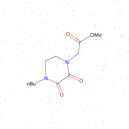 CCCCN1CCN(CC(=O)OC)C(=O)C1=O